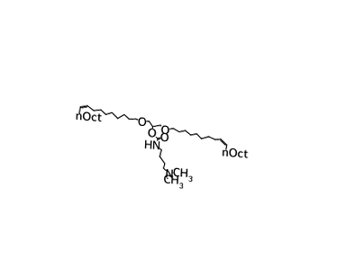 CCCCCCCC/C=C\CCCCCCCCOCC(COCCCCCCCC/C=C\CCCCCCCC)OC(=O)NCCCCN(C)C